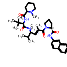 C/C(=C\C(C(C)C)N(C)C(=O)C(NC(=O)C1CCCCN1C)C(C)(C)C)C(=O)N1CCC[C@H]1C(=O)Nc1ccc2ccccc2c1